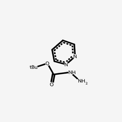 CC(C)(C)OC(=O)NN.c1ccnnc1